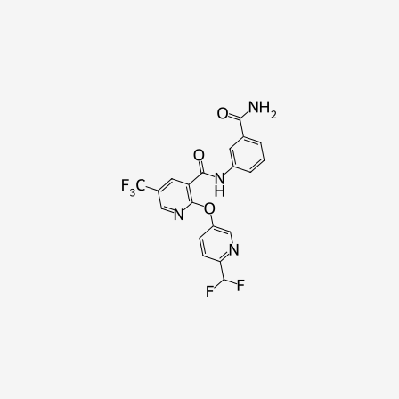 NC(=O)c1cccc(NC(=O)c2cc(C(F)(F)F)cnc2Oc2ccc(C(F)F)nc2)c1